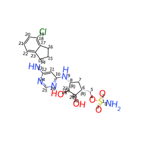 NS(=O)(=O)OC[C@H]1C[C@@H](Nc2cc(N[C@H]3CCc4c(Cl)cccc43)ncn2)[C@H](O)[C@@H]1O